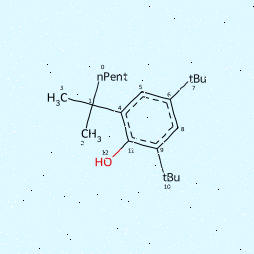 CCCCCC(C)(C)c1cc(C(C)(C)C)cc(C(C)(C)C)c1O